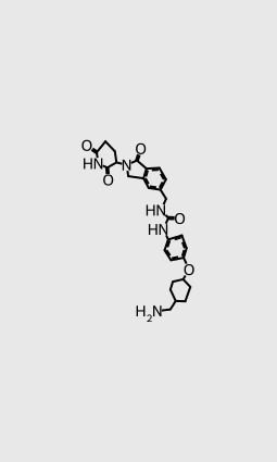 NCC1CCC(Oc2ccc(NC(=O)NCc3ccc4c(c3)CN(C3CCC(=O)NC3=O)C4=O)cc2)CC1